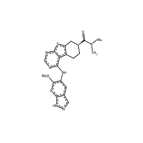 CCCCN(C)C(=O)[C@H]1CCc2c(sc3ncnc(Nc4cc5cn[nH]c5nc4OC)c23)C1